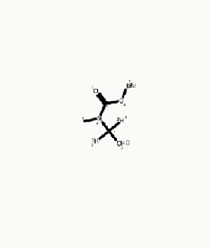 [2H]C([2H])(C=O)N(C)C(=O)OC(C)(C)C